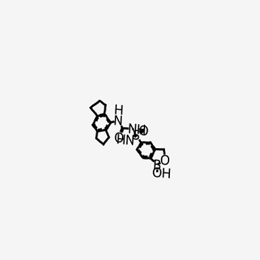 N=S(=O)(NC(=O)Nc1c2c(cc3c1CCC3)CCC2)c1ccc2c(c1)COB2O